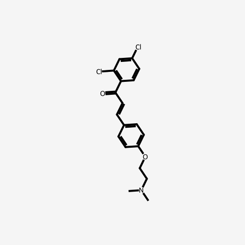 CN(C)CCOc1ccc(C=CC(=O)c2ccc(Cl)cc2Cl)cc1